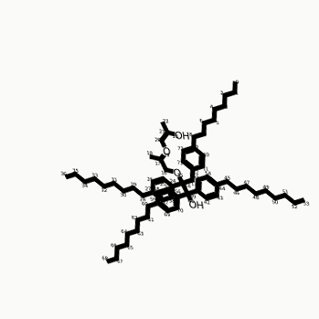 CCCCCCCCCc1ccc(CC(OCC(C)OCC(C)O)(c2ccc(CCCCCCCCC)cc2)C(O)(c2ccc(CCCCCCCCC)cc2)c2ccc(CCCCCCCCC)cc2)cc1